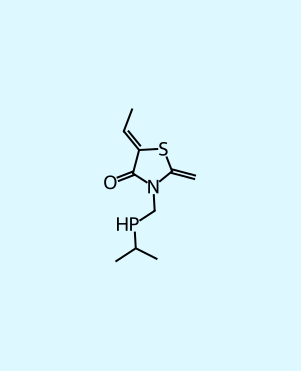 C=c1s/c(=C\C)c(=O)n1CPC(C)C